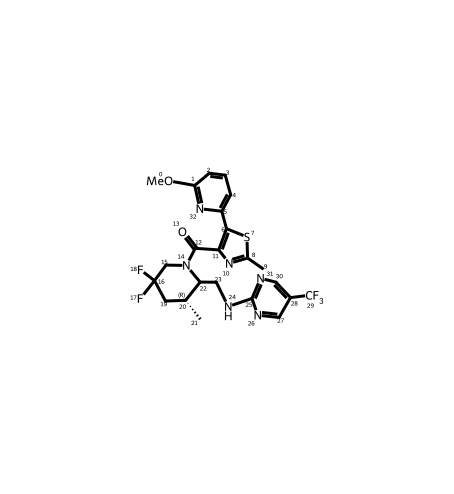 COc1cccc(-c2sc(C)nc2C(=O)N2CC(F)(F)C[C@@H](C)C2CNc2ncc(C(F)(F)F)cn2)n1